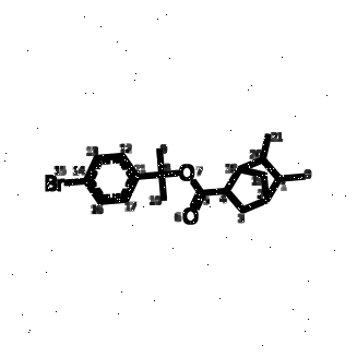 CC1C2CC(C(=O)OC(C)(C)c3ccc(Br)cc3)C(C2)C1C